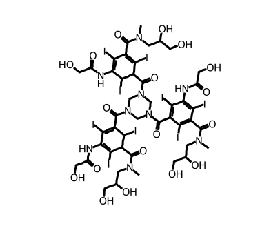 CN(CC(O)CO)C(=O)C1=C(I)C(C(=O)N2CN(C(=O)C3=C(I)C(NC(=O)CO)=C(I)C(C(=O)N(C)CC(O)CO)C3I)CN(C(=O)c3c(I)c(NC(=O)CO)c(I)c(C(=O)N(C)CC(O)CO)c3I)C2)C(I)C(NC(=O)CO)=C1I